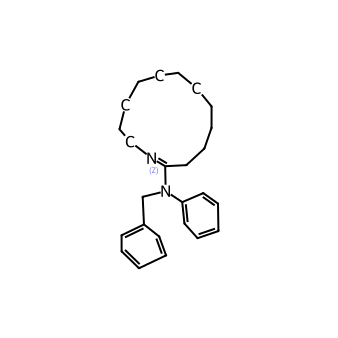 c1ccc(CN(/C2=N\CCCCCCCCCCC2)c2ccccc2)cc1